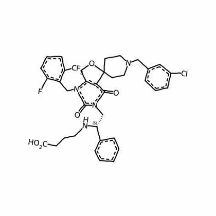 O=C(O)CCCN[C@H](Cn1c(=O)c2c(n(Cc3c(F)cccc3C(F)(F)F)c1=O)COC21CCN(Cc2cccc(Cl)c2)CC1)c1ccccc1